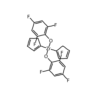 Fc1cc(F)c([O][Zr]([O]c2c(F)cc(F)cc2F)([C]2=CC=CC2)[C]2=CC=CC2)c(F)c1